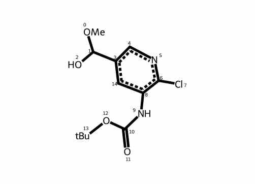 COC(O)c1cnc(Cl)c(NC(=O)OC(C)(C)C)c1